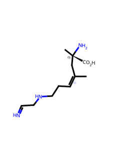 C/C(=C/CCNCC=N)C[C@](C)(N)C(=O)O